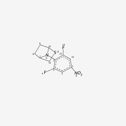 O=[N+]([O-])c1cc(F)c(N2C3CCC2SC3)c(F)c1